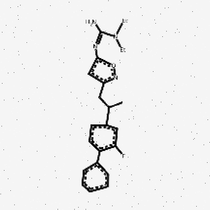 CCN(CC)C(N)=Nc1cc(CC(C)c2ccc(-c3ccccc3)c(F)c2)no1